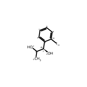 CC(O)[C@H](O)c1ccccc1I